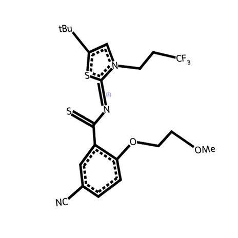 COCCOc1ccc(C#N)cc1C(=S)/N=c1\sc(C(C)(C)C)cn1CCC(F)(F)F